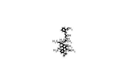 CCCCC(NCC(C)(C)NCC(O)COc1ccccc1OC)C1=C(C(=O)OCC)C(c2cccc([N+](=O)[O-])c2)C(C(=O)OCC)=C(C)N1